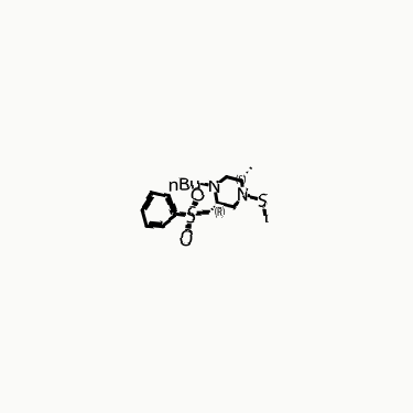 CCCCN1C[C@H](C)N(SI)C[C@@H]1CS(=O)(=O)c1ccccc1